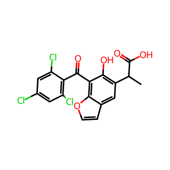 CC(C(=O)O)c1cc2ccoc2c(C(=O)c2c(Cl)cc(Cl)cc2Cl)c1O